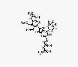 COC[C@H](/C(C=N)=C/c1nc([C@@H](NC(=O)OCC(=N)/C=C(\O)C(F)(F)F)C2CCC(C)(F)CC2)c[nH]1)N1C[C@@H](C(F)(F)F)NC1=O